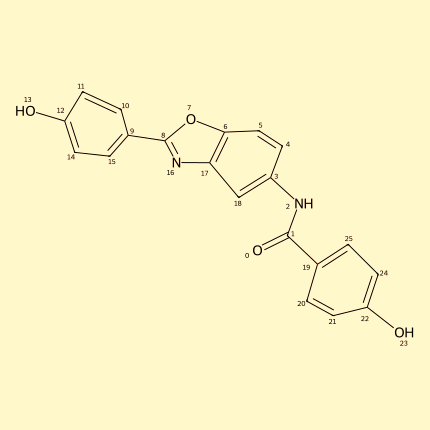 O=C(Nc1ccc2oc(-c3ccc(O)cc3)nc2c1)c1ccc(O)cc1